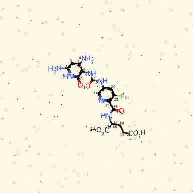 Nc1cc(N)c(NC(=O)Nc2cnc(C(=O)N[C@@H](CCC(=O)O)C(=O)O)c(F)c2)c(=O)[nH]1